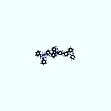 C1=CC(n2c3ccccc3c3cc(-c4ccc(-n5c6ccccc6c6c(-c7cccc(-c8nc(-c9ccccc9)nc(-c9ccccc9)n8)c7)cccc65)cc4)ccc32)=CCC1